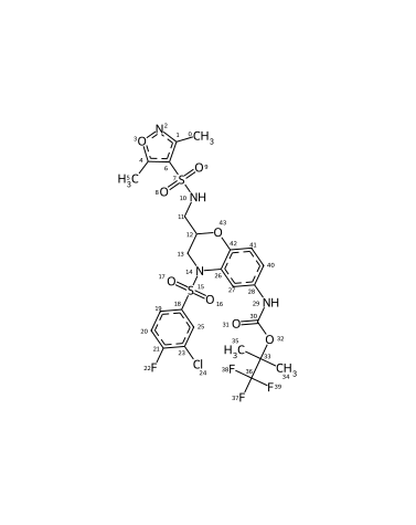 Cc1noc(C)c1S(=O)(=O)NCC1CN(S(=O)(=O)c2ccc(F)c(Cl)c2)c2cc(NC(=O)OC(C)(C)C(F)(F)F)ccc2O1